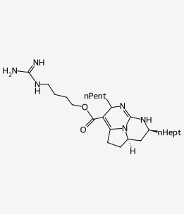 CCCCCCC[C@H]1C[C@H]2CCC3=C(C(=O)OCCCCNC(=N)N)C(CCCCC)N=C(N1)N32